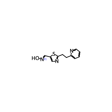 O/N=C/c1cnc(CCc2ccccn2)s1